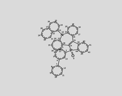 O=P1(c2cccc(-c3ccccc3)c2)C2=C(c3ccccc3N(c3cccc4ccccc34)c3ccccc32)c2ccccc21